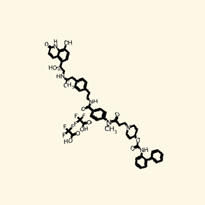 C[C@H](Cc1ccc(CCNC(=O)c2ccc(N(C)C(=O)CCN3CCC(OC(=O)Nc4ccccc4-c4ccccc4)CC3)cc2)cc1)NC[C@H](O)c1ccc(O)c2[nH]c(=O)ccc12.O=C(O)C(F)(F)F.O=C(O)C(F)(F)F